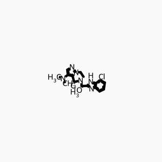 CC1c2c(N(C)C)cnn2CCN1C(=O)c1nc2cccc(Cl)c2[nH]1